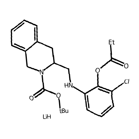 CCC(=O)Oc1c(Cl)cccc1NCC1Cc2ccccc2CN1C(=O)OC(C)(C)C.[LiH]